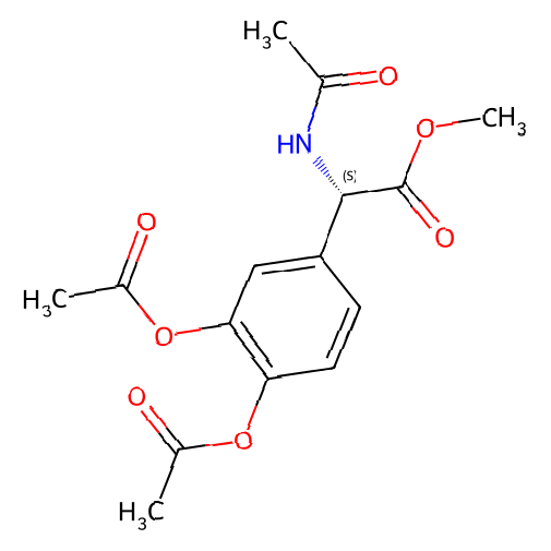 COC(=O)[C@@H](NC(C)=O)c1ccc(OC(C)=O)c(OC(C)=O)c1